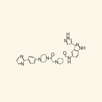 O=C(Nc1ccc2[nH]nc(-c3cn[nH]c3)c2c1)[C@@H]1CCN(CC(=O)N2CCN(c3ccc(-c4ncccn4)cc3)CC2)C1